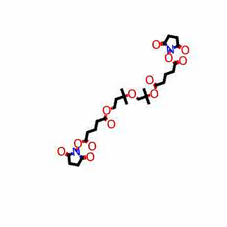 CC(C)(CCOC(=O)CCCC(=O)ON1C(=O)CCC1=O)OCC(C)(C)OC(=O)CCCC(=O)ON1C(=O)CCC1=O